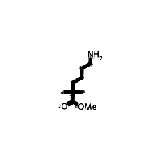 COC(=O)C(C)(C)CCCCN